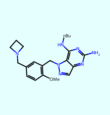 CCCCNc1nc(N)nc2cnn(Cc3cc(CN4CCC4)ccc3OC)c12